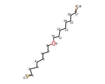 S=CCCCCCCCOCCCCCCCC=S